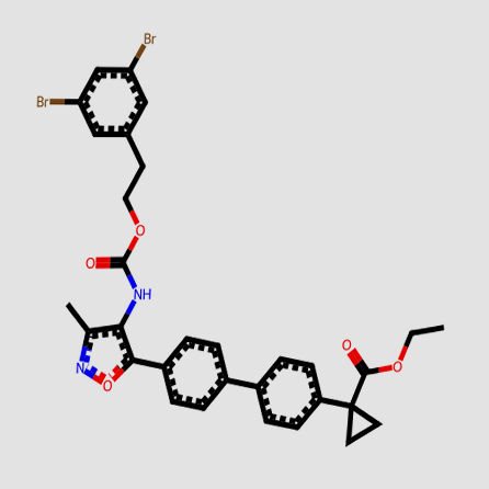 CCOC(=O)C1(c2ccc(-c3ccc(-c4onc(C)c4NC(=O)OCCc4cc(Br)cc(Br)c4)cc3)cc2)CC1